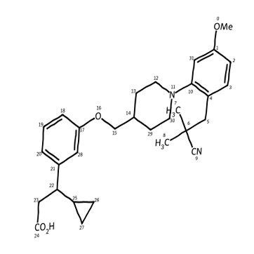 COc1ccc(CC(C)(C)C#N)c(N2CCC(COc3cccc(C(CC(=O)O)C4CC4)c3)CC2)c1